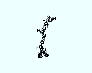 O=C1CCC(Nc2ccc(N3CCC(O)(CC(=O)N4CCC5(C4)CN(c4ccc(-c6cc(F)c7c(c6)C(=O)N(C(C(=O)Nc6nccs6)c6ncn8c6CCC8)C7)cc4)C5)CC3)c(F)c2)C(=O)N1